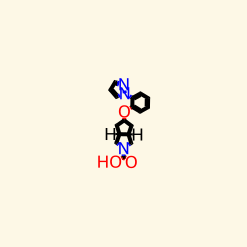 O=C(O)N1C[C@H]2CC(Oc3ccccc3-n3cccn3)C[C@H]2C1